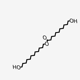 O=C(CCCCCCCCCCO)OCCCCCCCCCCCCO